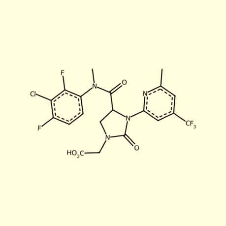 Cc1cc(C(F)(F)F)cc(N2C(=O)N(CC(=O)O)CC2C(=O)N(C)c2ccc(F)c(Cl)c2F)n1